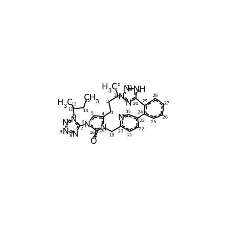 CCCCc1cn(-c2nnnn2C(C)CC)c(=O)n1Cc1ccc(-c2ccccc2-c2nnn[nH]2)cn1